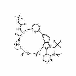 CO[C@@H](C)c1ncccc1-c1c2c3cc(ccc3n1CC(F)(F)F)-c1cccc(n1)C[C@H](NC(=O)OC(C)(C)C)C(=O)N1CCCC(N1)C(=O)OCC(C)(C)C2